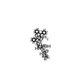 COC(=O)N(C(=O)[C@@H](N)C(c1ccccc1)c1ccccc1)c1ccccc1CC[C@@H]1CN[C@H](COC(=O)NCC(F)(F)F)[C@@H](CO)O1